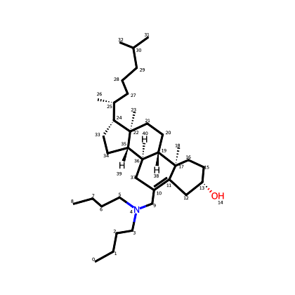 CCCCN(CCCC)CC1=C2C[C@@H](O)CC[C@]2(C)[C@H]2CC[C@]3(C)[C@@H]([C@H](C)CCCC(C)C)CC[C@H]3[C@@H]2C1